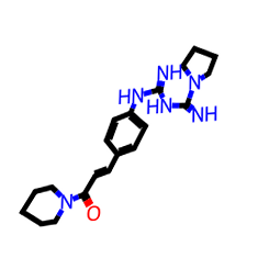 N=C(NC(=N)N1CCCC1)Nc1ccc(/C=C/C(=O)N2CCCCC2)cc1